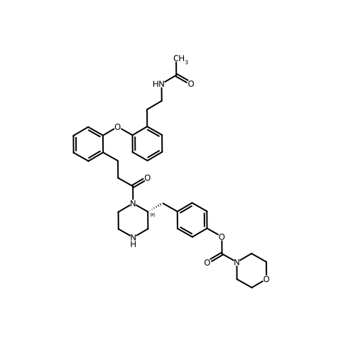 CC(=O)NCCc1ccccc1Oc1ccccc1CCC(=O)N1CCNC[C@H]1Cc1ccc(OC(=O)N2CCOCC2)cc1